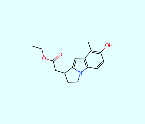 CCOC(=O)CC1CCn2c1cc1c(C)c(O)ccc12